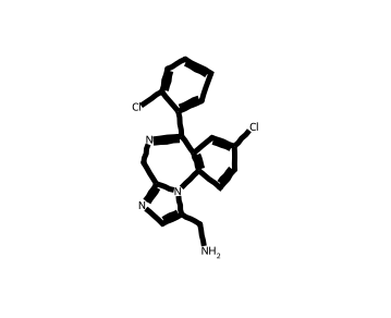 NCc1cnc2n1-c1ccc(Cl)cc1C(c1ccccc1Cl)=NC2